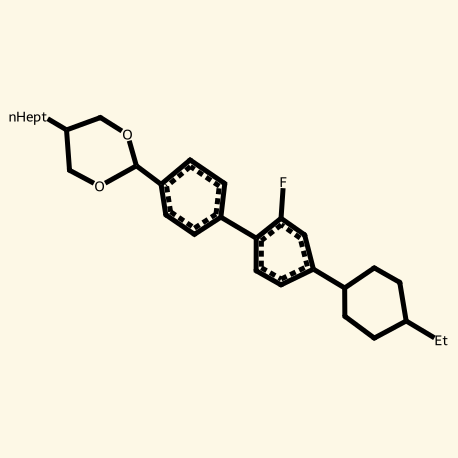 CCCCCCCC1COC(c2ccc(-c3ccc(C4CCC(CC)CC4)cc3F)cc2)OC1